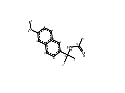 COc1ccc2cc(C(C)(I)NC(C)=O)ccc2c1